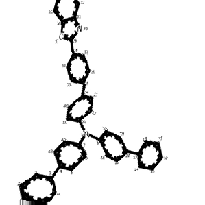 c1ccc(-c2ccc(N(c3ccc(-c4ccccc4)cc3)c3ccc(-c4ccc(-c5nc6ccccc6o5)cc4)cc3)cc2)cc1